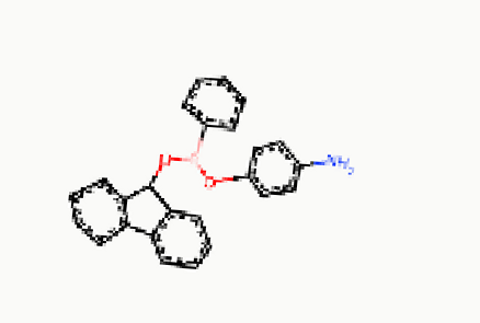 Nc1ccc(OB(OC2c3ccccc3-c3ccccc32)c2ccccc2)cc1